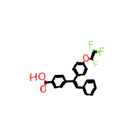 O=C(O)c1ccc(C(=Cc2ccccc2)c2ccc(OC(F)=C(F)F)cc2)cc1